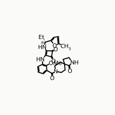 CC[C@@H](Nc1c(Nc2cccc(C(=O)N3CCC4(CCNC4=O)CC3)c2OC)c(=O)c1=O)c1ccc(C)o1